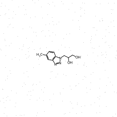 Cc1ccc2c(c1)nnn2CC(O)CO